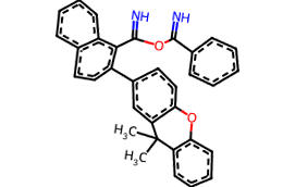 CC1(C)c2ccccc2Oc2ccc(-c3ccc4ccccc4c3C(=N)OC(=N)c3ccccc3)cc21